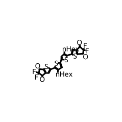 CCCCCCc1cc(-c2cc(CCCCCC)c(-c3cc4c(s3)C(=O)C(F)(F)C4=O)s2)sc1-c1cc2c(s1)C(=O)C(F)(F)C2=O